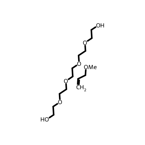 C=CCOC.OCCOCCOCCOCCOCCO